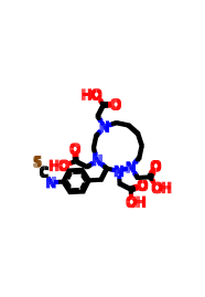 O=C(O)CN1CCCCCN(CC(=O)O)N(CC(=O)O)C(Cc2ccc(N=C=S)cc2)N(CC(=O)O)CC1